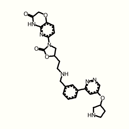 O=C1COc2ccc(N3CC(CCNCc4cccc(-c5cc(OC6CCNC6)cnn5)c4)OC3=O)nc2N1